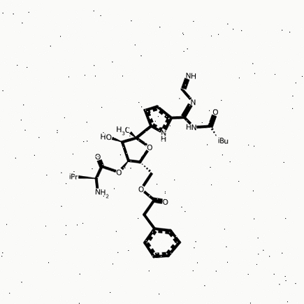 CC[C@@H](C)C(=O)N/C(=N/C=N)c1ccc([C@]2(C)O[C@H](COC(=O)Cc3ccccc3)[C@@H](OC(=O)[C@@H](N)C(C)C)[C@H]2O)[nH]1